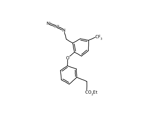 CCOC(=O)Cc1cccc(Oc2ccc(C(F)(F)F)cc2CN=[N+]=[N-])c1